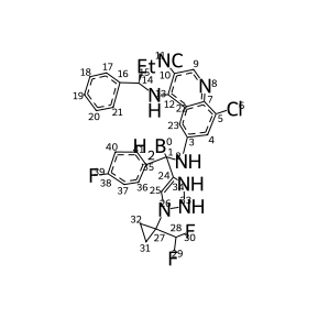 BC(Nc1cc(Cl)c2ncc(C#N)c(N[C@H](CC)c3ccccc3)c2c1)(C1=CN(C2(C(F)F)CC2)NN1)c1ccc(F)cc1